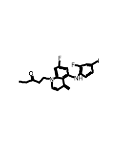 C=C1C=CN(CCC(=O)CC)c2cc(F)cc(Nc3ccc(I)cc3F)c21